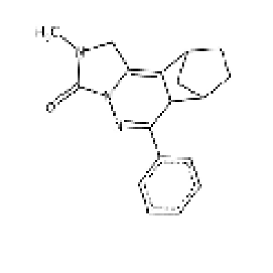 CN1CC2=C3C4CCC(C4)C3C(c3ccccc3)=NN2C1=O